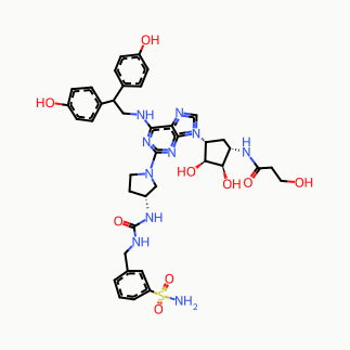 NS(=O)(=O)c1cccc(CNC(=O)N[C@@H]2CCN(c3nc(NCC(c4ccc(O)cc4)c4ccc(O)cc4)c4ncn([C@@H]5C[C@H](NC(=O)CCO)[C@@H](O)[C@H]5O)c4n3)C2)c1